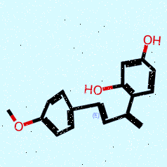 C=C(/C=C/c1ccc(OC)cc1)c1ccc(O)cc1O